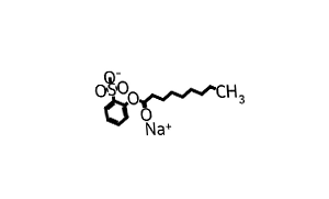 CCCCCCCCC(=O)Oc1ccccc1S(=O)(=O)[O-].[Na+]